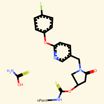 CCCCCNC(=S)OC1CC(=O)N(Cc2ccc(Oc3ccc(F)cc3)nc2)C1.NC(O)=S